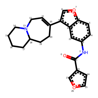 O=C(Nc1ccc2occ(C3=CCN4CCCCC4CC3)c2c1)c1ccoc1